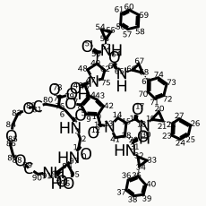 O=C1CNC(=O)C(Oc2cc(C(=O)N3C[C@@H](C(=O)N[C@H]4C[C@@H]4c4ccccc4)[C@H](C(=O)N[C@H]4C[C@@H]4c4ccccc4)C3)ccc2C(=O)N2C[C@@H](C(=O)N[C@H]3C[C@@H]3c3ccccc3)[C@H](C(=O)N[C@H]3C[C@@H]3c3ccccc3)C2)C(C(=O)O)CCOCCOCCOCCNC(=O)C(CO)N1